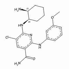 COc1cccc(Nc2nc(N[C@@H]3CCCC[C@@H]3N)c(Cl)cc2C(N)=O)c1